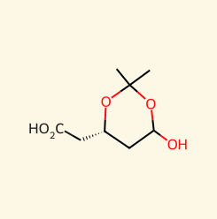 CC1(C)OC(O)C[C@H](CC(=O)O)O1